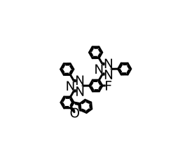 Fc1ccc(-c2nc(-c3ccccc3)nc(-c3cccc4oc5ccccc5c34)n2)cc1-c1nc(-c2ccccc2)nc(-c2ccccc2)n1